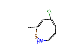 Cc1cc(Cl)ccc[nH]s1